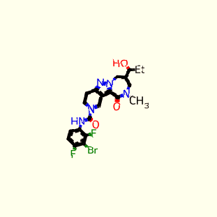 CCC(O)C1CN(C)C(=O)c2c3c(nn2C1)CCN(C(=O)Nc1ccc(F)c(Br)c1F)C3